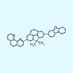 CC1(C)c2cc(-c3ccc4c(c3)oc3ccccc34)cc3ccc4cc(-c5ccc6ccc7cccnc7c6n5)cc1c4c23